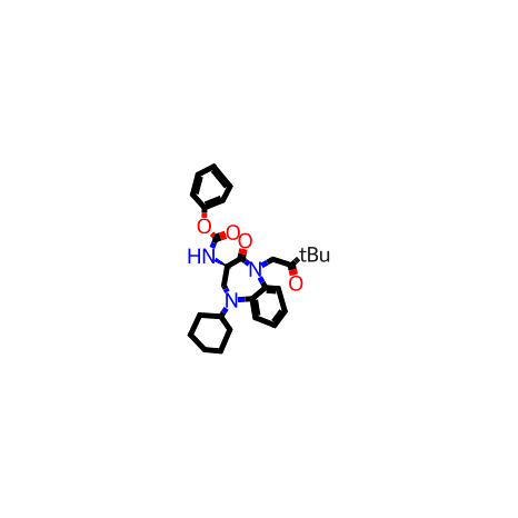 CC(C)(C)C(=O)CN1C(=O)[C@H](NC(=O)Oc2ccccc2)CN(C2CCCCC2)c2ccccc21